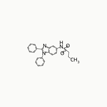 CCCS(=O)(=O)Nc1ccc2c(c1)nc(-c1ccccc1)n2-c1ccccc1